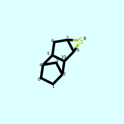 C1CC2CC1C1CC3SC3C21